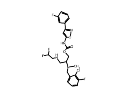 CN(Cc1cccc(F)c1Cl)C(CNCC(F)F)COC(=O)Nc1cc(-c2cccc(F)c2)no1